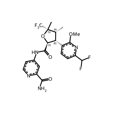 COc1nc(C(F)F)ccc1[C@@H]1[C@@H](C(=O)Nc2ccnc(C(N)=O)c2)O[C@](C)(C(F)(F)F)[C@@H]1C